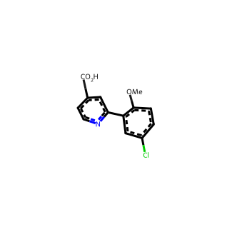 COc1ccc(Cl)cc1-c1cc(C(=O)O)ccn1